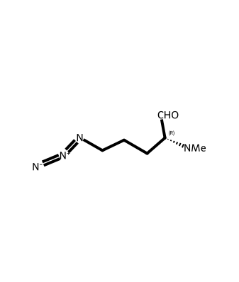 CN[C@@H](C=O)CCCN=[N+]=[N-]